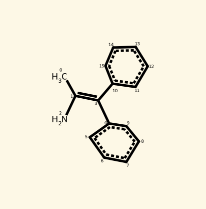 CC(N)=C(c1ccccc1)c1ccccc1